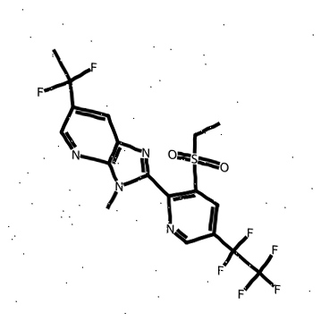 CCS(=O)(=O)c1cc(C(F)(F)C(F)(F)F)cnc1-c1nc2cc(C(C)(F)F)cnc2n1C